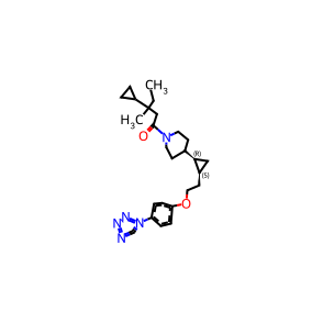 CCC(C)(CC(=O)N1CCC([C@H]2C[C@H]2CCOc2ccc(-n3cnnn3)cc2)CC1)C1CC1